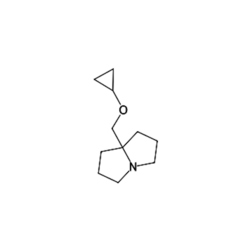 C1CN2CCCC2(COC2CC2)C1